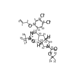 C=CCOc1cc(Cl)c(Cl)cc1C(=N[S@@+]([O-])C(C)(C)C)C1C[C@@H]2CN(C(=O)OC(C)(C)C)C[C@H]2C1